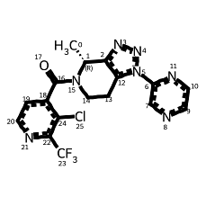 C[C@@H]1c2nnn(-c3cnccn3)c2CCN1C(=O)c1ccnc(C(F)(F)F)c1Cl